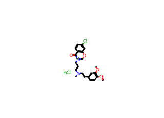 COc1ccc(CCN(C)CCCN2COc3cc(Cl)ccc3C2=O)cc1OC.Cl